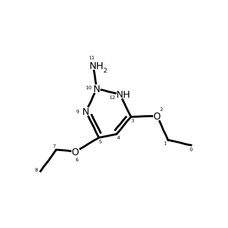 CCOC1=CC(OCC)=NN(N)N1